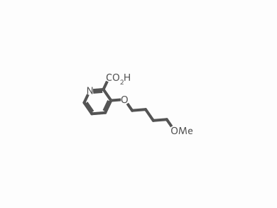 COCCCCOc1cccnc1C(=O)O